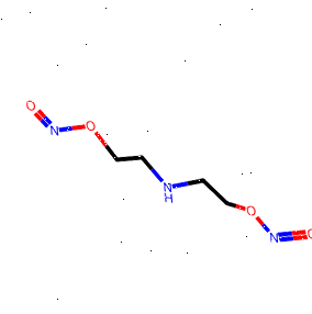 O=NOCCNCCON=O